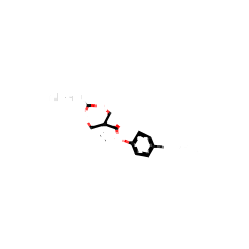 CCCCCc1ccc(OC(=O)[C@]2(C#N)CO[C@H](CCCCC)OC2)cc1